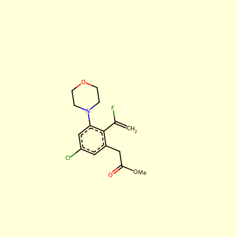 C=C(F)c1c(CC(=O)OC)cc(Cl)cc1N1CCOCC1